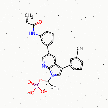 C=CC(=O)Nc1cccc(-c2cnc3c(c2)c(-c2cccc(C#N)c2)cn3C(C)OP(=O)(O)O)c1